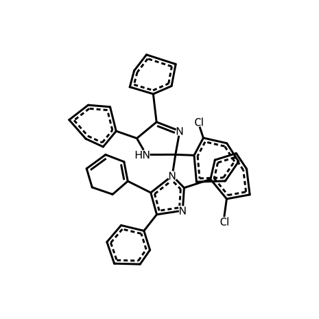 Clc1ccccc1-c1nc(-c2ccccc2)c(C2=CC=CCC2)n1C1(c2ccccc2Cl)N=C(c2ccccc2)C(c2ccccc2)N1